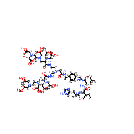 CCC(C)[C@H](NC(=O)[C@@H](C)Cc1c[nH]cn1)C(=O)N[C@@H](CC(C)C)C(=O)NCc1ccc(CNC(=O)CN(CCNC(=O)[C@@H](CN(CCN(CC(=O)O)CC(=O)O)CC(=O)O)N(CC(=O)O)CC(=O)O)CCNC(=O)[C@@H](CN(CCN(CC(=O)O)CC(=O)O)CC(=O)O)N(CC(=O)O)CC(=O)O)cc1